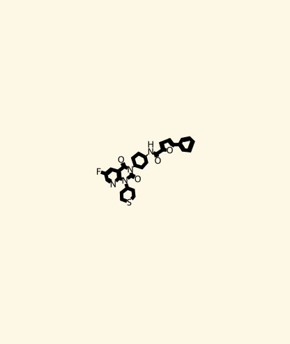 O=C(N[C@H]1CC[C@@H](n2c(=O)c3cc(F)cnc3n(C3CCSCC3)c2=O)CC1)c1ccc(-c2ccccc2)o1